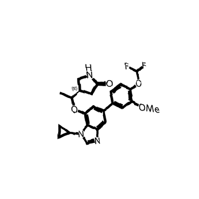 COc1cc(-c2cc(OC(C)[C@H]3CNC(=O)C3)c3c(c2)ncn3C2CC2)ccc1OC(F)F